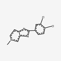 Cn1ccc2nc(-c3ccc(Cl)c(Cl)c3)nc-2c1